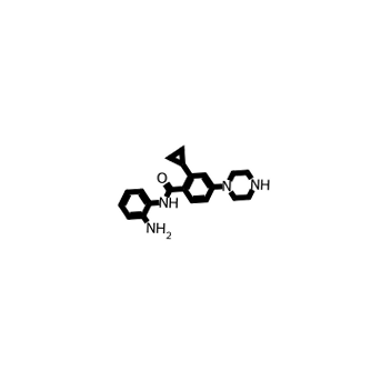 Nc1ccccc1NC(=O)c1ccc(N2CCNCC2)cc1C1CC1